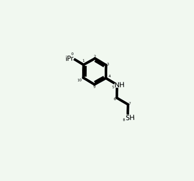 CC(C)c1ccc(NCCS)cc1